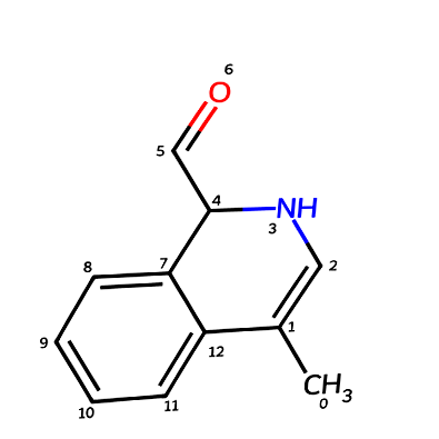 CC1=CNC(C=O)c2ccccc21